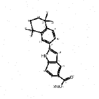 COC(=O)c1ccc2[nH]c(-c3ccc4c(c3)C(C)(C)CCC4(C)C)cc2c1